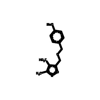 COc1ccc(COCc2onc(C)c2C(=O)O)cc1